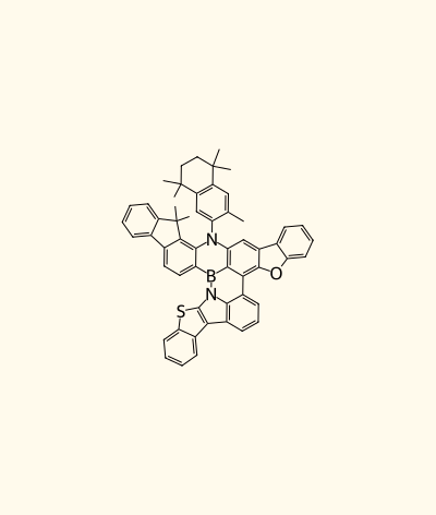 Cc1cc2c(cc1N1c3cc4c(oc5ccccc54)c4c3B(c3ccc5c(c31)C(C)(C)c1ccccc1-5)n1c3sc5ccccc5c3c3cccc-4c31)C(C)(C)CCC2(C)C